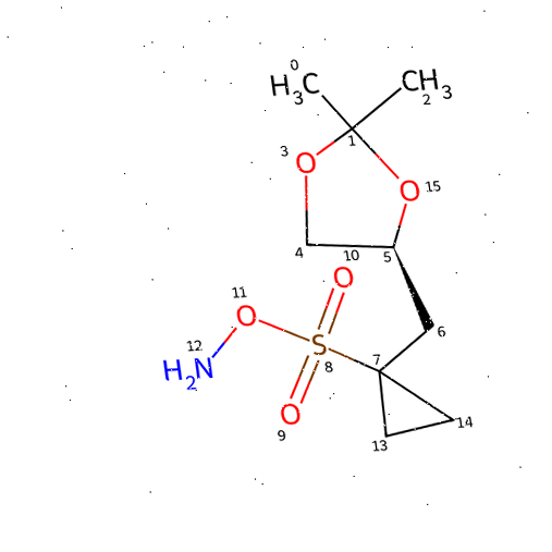 CC1(C)OC[C@H](CC2(S(=O)(=O)ON)CC2)O1